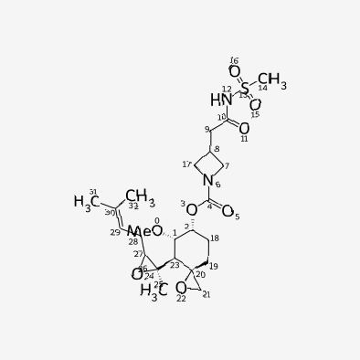 CO[C@@H]1[C@H](OC(=O)N2CC(CC(=O)NS(C)(=O)=O)C2)CC[C@]2(CO2)[C@H]1[C@@]1(C)OC1CC=C(C)C